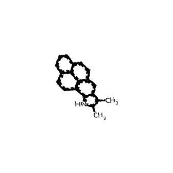 Cc1[nH]c2c(cc3ccc4cccc5ccc2c3c45)c1C